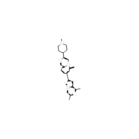 Cc1cn2nc(C3=C\C(=O)N4C=C(C5CCN(C)CC5)N=C\C4=C/C=C/3)cc2c(C)n1